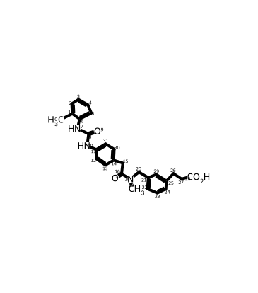 Cc1ccccc1NC(=O)Nc1ccc(CC(=O)N(C)Cc2cccc(CCC(=O)O)c2)cc1